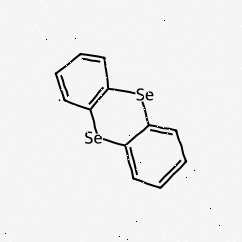 [c]1cccc2c1[Se]c1ccccc1[Se]2